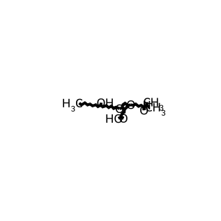 CCCCCCCCC(O)CCCCC=COc1ccc(OCCCCC(=O)N(C)C)cc1CCC(=O)O